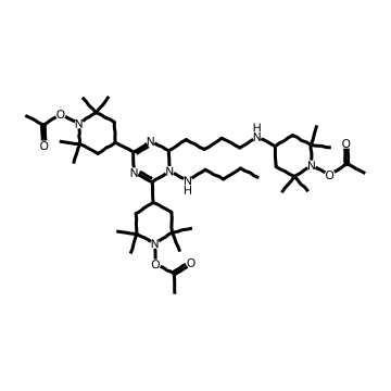 CCCCNN1C(C2CC(C)(C)N(OC(C)=O)C(C)(C)C2)=NC(C2CC(C)(C)N(OC(C)=O)C(C)(C)C2)=NC1CCCCNC1CC(C)(C)N(OC(C)=O)C(C)(C)C1